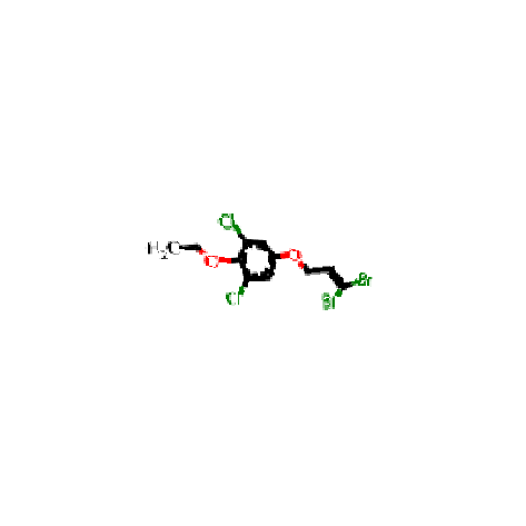 [CH2]COc1c(Cl)cc(OCC=C(Br)Br)cc1Cl